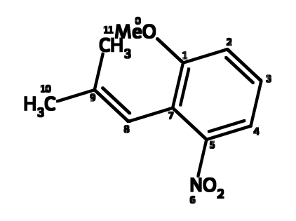 COc1cccc([N+](=O)[O-])c1C=C(C)C